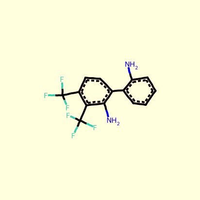 Nc1ccccc1-c1ccc(C(F)(F)F)c(C(F)(F)F)c1N